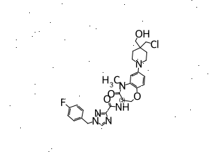 CN1C(=O)[C@@H](NC(=O)c2ncn(Cc3ccc(F)cc3)n2)COc2ccc(N3CCC(CO)(CCl)CC3)cc21